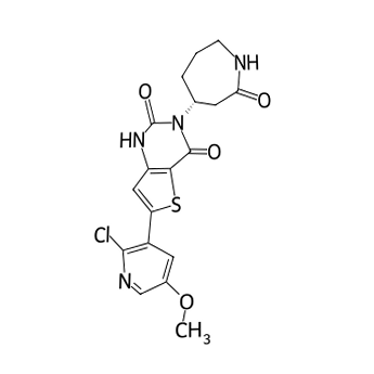 COc1cnc(Cl)c(-c2cc3[nH]c(=O)n([C@@H]4CCCNC(=O)C4)c(=O)c3s2)c1